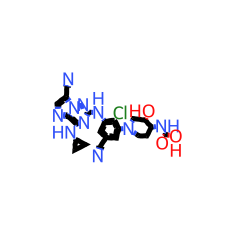 N#Cc1cc(Nc2nc(NC3CC3)c3ncc(C#N)n3n2)c(Cl)c(N2CCC(NC(=O)O)C(O)C2)c1